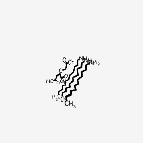 CCCCCCCCCCCCN.CCCCCCCCCCCCN.CCCCCCCCCCCCN.O=C(O)COC(CC(=O)O)C(=O)O